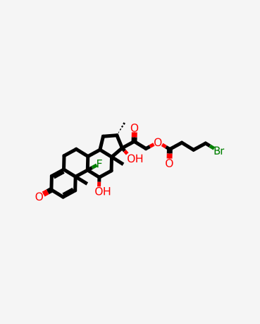 C[C@H]1CC2C3CCC4=CC(=O)C=CC4(C)C3(F)C(O)CC2(C)C1(O)C(=O)COC(=O)CCCBr